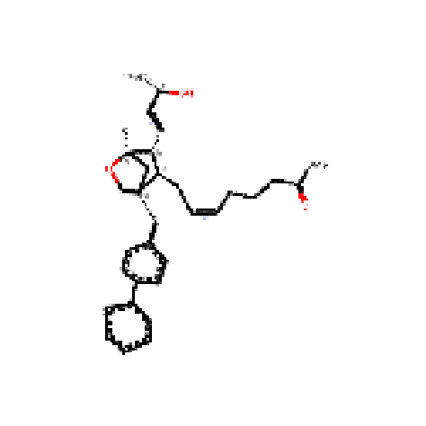 CCCCC[C@H](O)/C=C/[C@@H]1[C@@H](C/C=C\CCCC(=O)OC)[C@@]2(Cc3ccc(-c4ccccc4)cc3)CO[C@@H]1C2